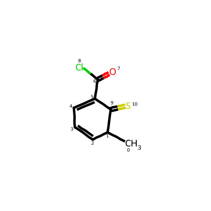 CC1C=CC=C(C(=O)Cl)C1=S